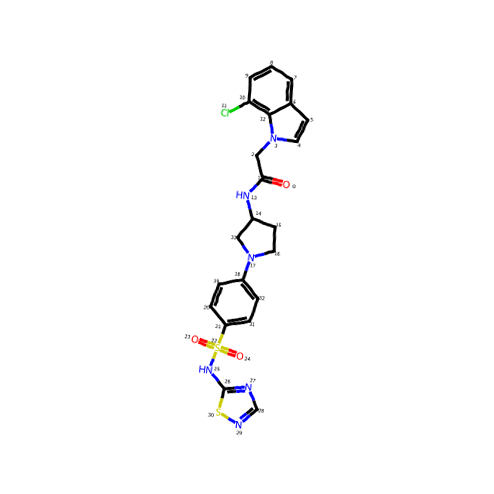 O=C(Cn1ccc2cccc(Cl)c21)NC1CCN(c2ccc(S(=O)(=O)Nc3ncns3)cc2)C1